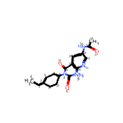 CCC1CCC(n2c(=O)[nH]c3ncc(NC(C)=O)cc3c2=O)CC1